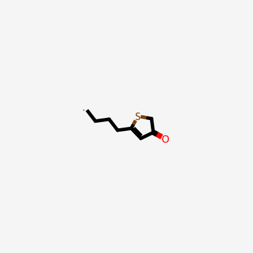 [CH2]CCCC1=CC(=O)CS1